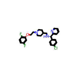 Fc1ccc(F)c(OCCN2CCC(CN[C@@H](c3ccc(Cl)cc3)c3ccccn3)CC2)c1